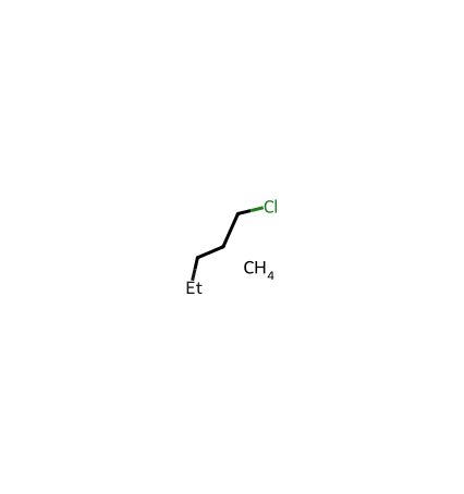 C.CCCCCCl